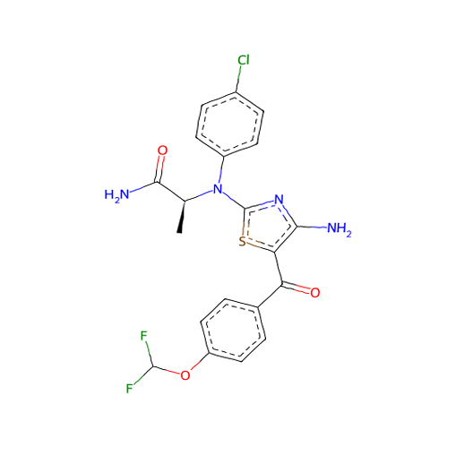 C[C@@H](C(N)=O)N(c1ccc(Cl)cc1)c1nc(N)c(C(=O)c2ccc(OC(F)F)cc2)s1